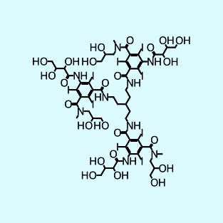 CN(CC(O)CO)C(=O)c1c(I)c(NC(=O)C(O)C(O)CO)c(I)c(C(=O)NCCC(CCNC(=O)c2c(I)c(NC(=O)C(O)C(O)CO)c(I)c(C(=O)N(C)CC(O)CO)c2I)CCNC(=O)c2c(I)c(NC(=O)C(O)C(O)CO)c(I)c(C(=O)N(C)CC(O)CO)c2I)c1I